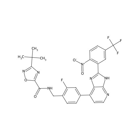 CC(C)(C)c1noc(C(=O)NCc2ccc(-c3ccnc4[nH]c(-c5cc(C(F)(F)F)ccc5[N+](=O)[O-])nc34)cc2F)n1